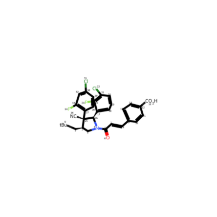 CC(C)(C)C[C@@H]1CN(C(=O)C=Cc2ccc(C(=O)O)cc2)[C@H](c2cccc(Cl)c2F)[C@@]1(C#N)c1ccc(Cl)cc1F